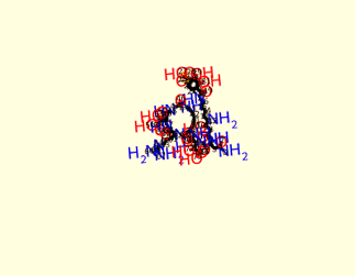 NC(=O)CC(NC(=O)CC(O)C(N)CCCCNC(=O)c1ccc(S(=O)(=O)O)c(O)c1O)C(=O)NC(C(=O)NC1CCCCNC(=O)CNC(=O)C(C(O)C(=O)O)NC(=O)C(CCCN=C(N)N)NC1=O)C(O)C(=O)O